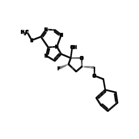 CSc1ncnn2c(C3(O)O[C@H](COCc4ccccc4)C[C@@H]3F)cnc12